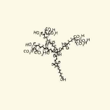 O=C(O)CN(CC(=O)O)C(CCCCNC(=O)CCOCC(COCCC(=O)NCCCCC(C(=O)O)N(CC(=O)O)CC(=O)O)(COCCC(=O)NCCCCC(C(=O)O)N(CC(=O)O)CC(=O)O)NC(=O)CCN1C(=O)CC(SCCCCCCO)C1=O)C(=O)O